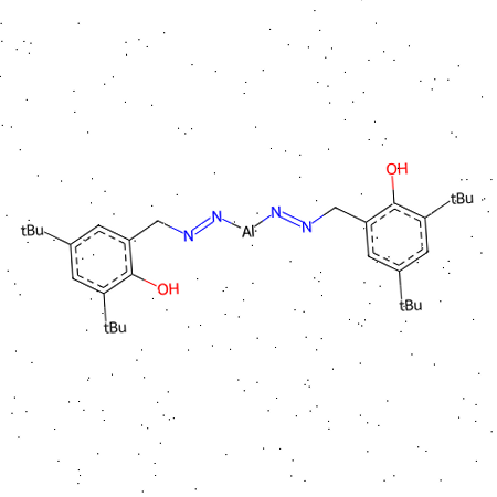 CC(C)(C)c1cc(CN=[N][Al][N]=NCc2cc(C(C)(C)C)cc(C(C)(C)C)c2O)c(O)c(C(C)(C)C)c1